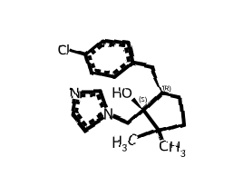 CC1(C)CC[C@H](Cc2ccc(Cl)cc2)[C@@]1(O)Cn1ccnc1